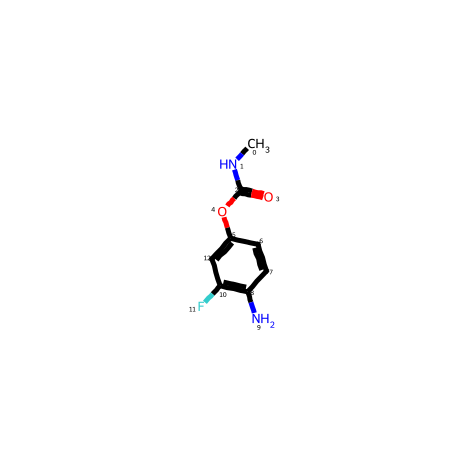 CNC(=O)Oc1ccc(N)c(F)c1